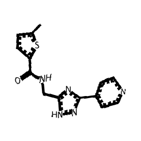 Cc1ccc(C(=O)NCc2nc(-c3ccncc3)n[nH]2)s1